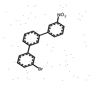 O=[N+]([O-])c1cccc(-c2cccc(-c3cccc(Br)c3)c2)c1